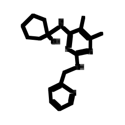 Cc1nc(NCc2ccccn2)nc(NC2(O)CCCCC2)c1C